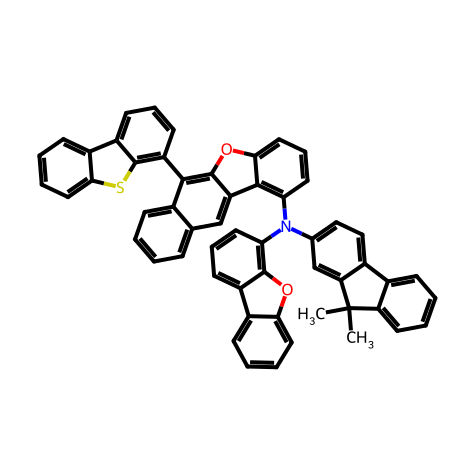 CC1(C)c2ccccc2-c2ccc(N(c3cccc4c3oc3ccccc34)c3cccc4oc5c(-c6cccc7c6sc6ccccc67)c6ccccc6cc5c34)cc21